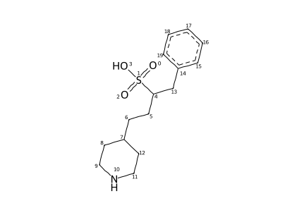 O=S(=O)(O)C(CCC1CCNCC1)Cc1ccccc1